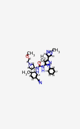 COCCN1C[C@@H](C2(C)C=CC(C#N)=CC2)[C@H](NC(=O)Nc2c(C)c(-c3cnn(C)c3)nn2-c2ccccc2)C1